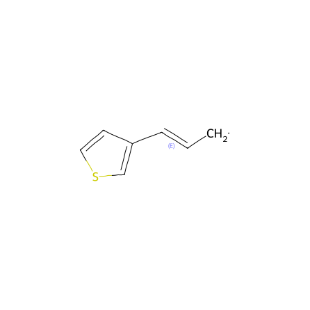 [CH2]/C=C/c1ccsc1